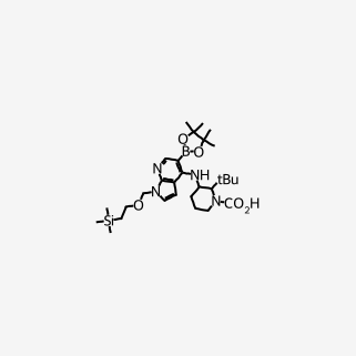 CC(C)(C)C1C(Nc2c(B3OC(C)(C)C(C)(C)O3)cnc3c2ccn3COCC[Si](C)(C)C)CCCN1C(=O)O